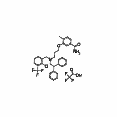 Cc1ccc(C(N)=O)cc1OCCCN(Cc1cccc(C(F)(F)F)c1Cl)CC(c1ccccc1)c1ccccc1.O=C(O)C(F)(F)F